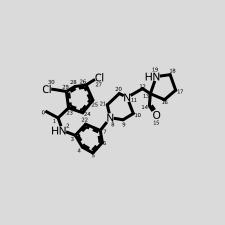 CC(Nc1cccc(N2CCN(CC3(C=O)CCCN3)CC2)c1)c1ccc(Cl)cc1Cl